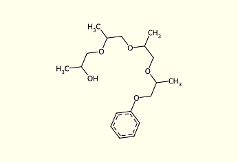 CC(O)COC(C)COC(C)COC(C)COc1ccccc1